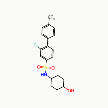 O=S(=O)(NC1CCC(O)CC1)c1ccc(-c2ccc(C(F)(F)F)cc2)c(F)c1